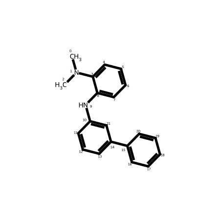 CN(C)c1ccccc1Nc1cccc(-c2ccccc2)c1